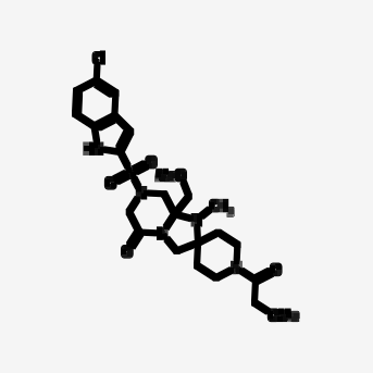 COCC(=O)N1CCC2(CC1)CN1C(=O)CN(S(=O)(=O)c3cc4cc(Cl)ccc4[nH]3)CC1(COC)N2C